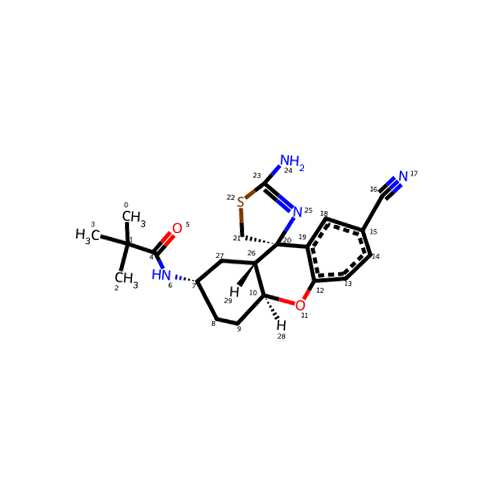 CC(C)(C)C(=O)N[C@H]1CC[C@@H]2Oc3ccc(C#N)cc3[C@@]3(CSC(N)=N3)[C@H]2C1